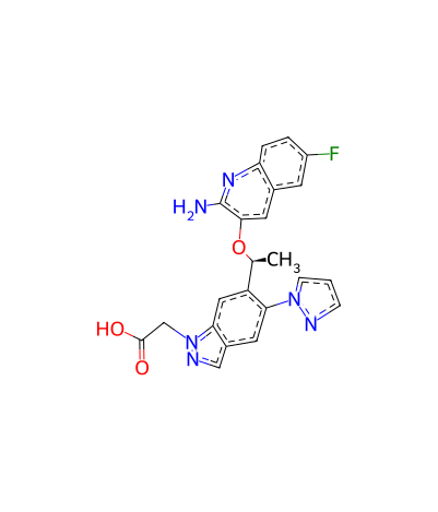 C[C@H](Oc1cc2cc(F)ccc2nc1N)c1cc2c(cnn2CC(=O)O)cc1-n1cccn1